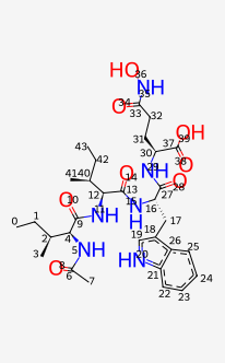 CC[C@H](C)[C@H](NC(C)=O)C(=O)N[C@H](C(=O)N[C@@H](Cc1c[nH]c2ccccc12)C(=O)N[C@@H](CCC(=O)NO)C(=O)O)[C@@H](C)CC